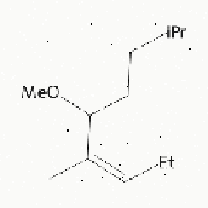 CCC=C(C)C(CCC(C)C)OC